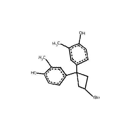 Cc1cc(C2(c3ccc(O)c(C)c3)CC(C(C)(C)C)C2)ccc1O